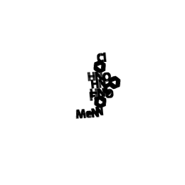 CNN=C1C=C(F)C(NC(=O)C(NC(=O)Nc2ccc(Cl)cc2)c2ccccc2)=CC1